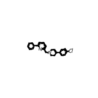 Clc1ccc(C2=CCN(Cc3cccc(-c4ccccc4)n3)CC2)cc1